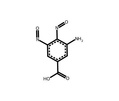 Nc1cc(C(=O)O)cc(N=O)c1N=O